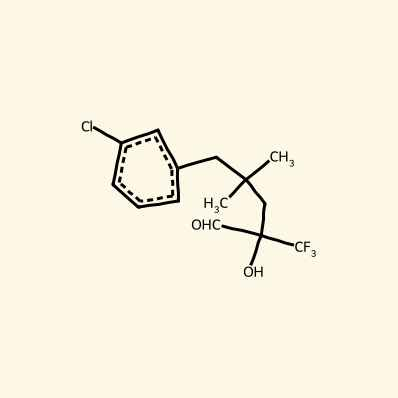 CC(C)(Cc1cccc(Cl)c1)CC(O)(C=O)C(F)(F)F